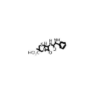 CC1(C(=O)O)CS[C@@H]2C(NC(=O)C(N)c3ccccc3)C(=O)N2C1